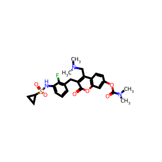 CN(C)Cc1c(Cc2cccc(NS(=O)(=O)C3CC3)c2F)c(=O)oc2cc(OC(=O)N(C)C)ccc12